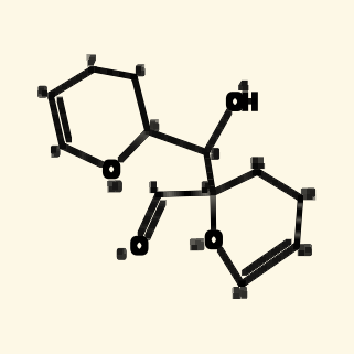 O=CC1(C(O)C2CCC=CO2)CCC=CO1